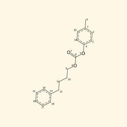 Cc1ccc(OC(=O)OCCCCc2ccccc2)cc1